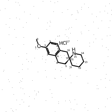 COc1ccc2c(c1)CC[C@@]1(CCCCN1)C2.Cl